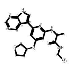 CC(Nc1cc(O[C@H]2CCOC2)cc(-c2c[nH]c3ncncc23)n1)C(=O)NCC(F)(F)F